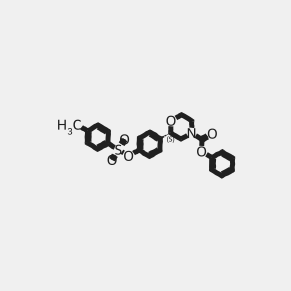 Cc1ccc(S(=O)(=O)Oc2ccc([C@H]3CN(C(=O)Oc4ccccc4)CCO3)cc2)cc1